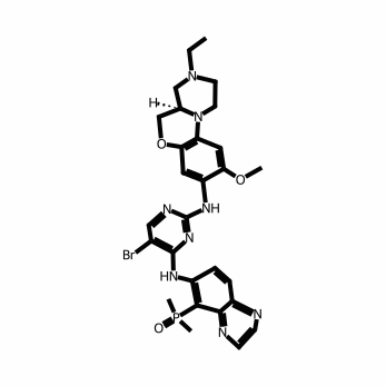 CCN1CCN2c3cc(OC)c(Nc4ncc(Br)c(Nc5ccc6nccnc6c5P(C)(C)=O)n4)cc3OC[C@H]2C1